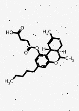 CCCCCc1cc(OC(=O)CCC(=O)O)c2c(c1)OC(C)[C@@H]1CCC(C)=C[C@@H]21